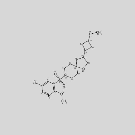 COc1ncc(Cl)cc1S(=O)(=O)N1CCC2(CC1)CC(N1CC(OC)C1)CO2